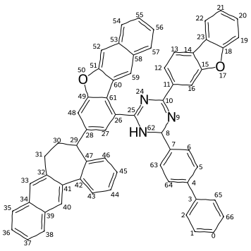 c1ccc(-c2ccc(C3N=C(c4ccc5c(c4)oc4ccccc45)N=C(c4cc(C5CCc6cc7ccccc7cc6-c6ccccc65)cc5oc6cc7ccccc7cc6c45)N3)cc2)cc1